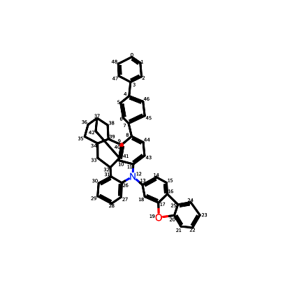 c1ccc(-c2ccc(-c3ccc(N(c4ccc5c(c4)oc4ccccc45)c4ccccc4C4CC5CCC6CC5CC4C6)cc3)cc2)cc1